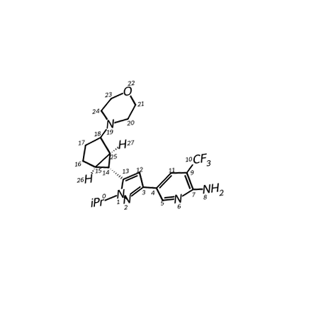 CC(C)n1nc(-c2cnc(N)c(C(F)(F)F)c2)cc1[C@@H]1[C@H]2CCC(N3CCOCC3)[C@H]21